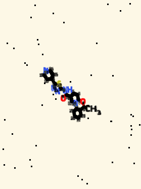 CC(Oc1ccc(C(=O)Nc2nnc(-c3ccncc3)s2)cn1)c1ccccc1